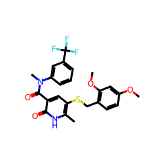 COc1ccc(CSc2cc(C(=O)N(C)c3cccc(C(F)(F)F)c3)c(=O)[nH]c2C)c(OC)c1